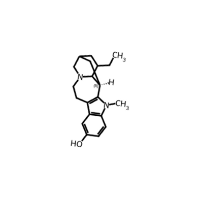 CCC1CC2C[C@H]3c4c(c5cc(O)ccc5n4C)CCN(C2)C13